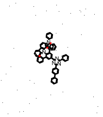 c1ccc(-c2ccc(-c3nc(-c4ccccc4)nc(-c4cc(-c5ccccc5)c(-n5c6ccccc6c6ccc7c(c8ccccc8n7-c7ccccc7)c65)c(-c5ccccc5)c4)n3)cc2)cc1